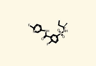 CC[C@@H](C)NS(=O)(=O)c1ccc(F)c(C(=O)Nc2ccc(F)nc2)c1